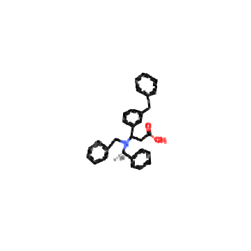 C[C@@H](c1ccccc1)N(Cc1ccccc1)C(CC(=O)O)c1cccc(Cc2ccccc2)c1